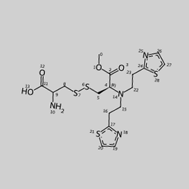 COC(=O)[C@H](CSSCC(N)C(=O)O)N(CCc1nccs1)CCc1nccs1